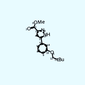 COC(=O)c1cc(-c2cccc(OCC(C)(C)C)c2)[nH]n1